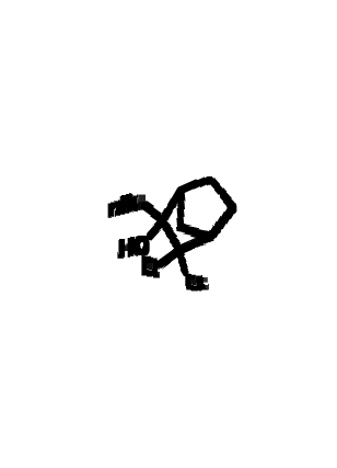 CCCCC1(O)C2CCC(C2)C1(CC)CC